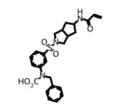 C=CC(=O)NC1CC2CN(S(=O)(=O)c3cccc(N(Cc4ccccc4)C(=O)O)c3)CC2C1